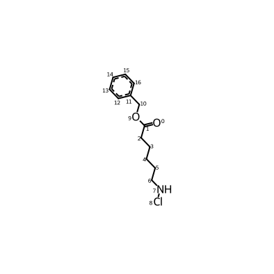 O=C(CCCCCNCl)OCc1ccccc1